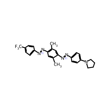 Cc1cc(/N=N/c2ccc(C(F)(F)F)cc2)c(C)cc1/N=N/c1ccc(N2CCCC2)cc1